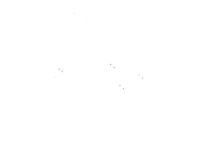 C=CCC(N)(CC=C)n1nnc2ccccc21